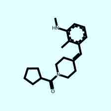 CNc1cccc(C=C2CCN(C(=O)C3CCCC3)CC2)c1C